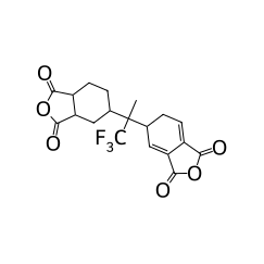 CC(C1C=C2C(=O)OC(=O)C2=CC1)(C1CCC2C(=O)OC(=O)C2C1)C(F)(F)F